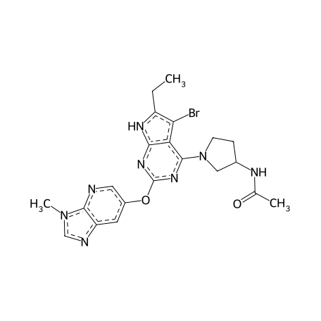 CCc1[nH]c2nc(Oc3cnc4c(c3)ncn4C)nc(N3CCC(NC(C)=O)C3)c2c1Br